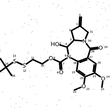 C=C1CC2C(O)N(C(=O)OCCSSC(C)(C)C)c3cc(OC)c(OC)cc3C(=O)N2C1